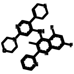 Cc1c(-c2ccccn2)nc2cc(F)cc(F)c2c1Nc1cc(N2CCOCC2)ncc1C1=CCSCC1